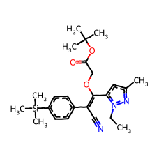 CCn1nc(C)cc1C(OCC(=O)OC(C)(C)C)=C(C#N)c1ccc([Si](C)(C)C)cc1